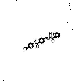 O=C(Nc1ccc(Cl)cc1)c1ccc(/C=N/NC(=O)c2ccccn2)cc1